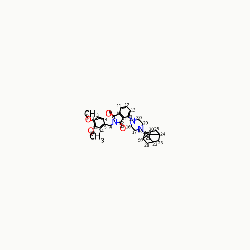 COc1ccc(CN2C(=O)c3cccc(N4CCN(C5C6CC7CC(C6)CC5C7)CC4)c3C2=O)cc1OC